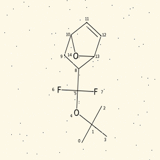 CC(C)(C)OC(F)(F)C1CC2C=CC1O2